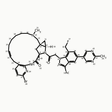 CC(=O)c1nn(CC(=O)N2[C@H]3C[C@]4(C[C@@H]24)CN(C)CCCCC/C=C\Cc2ccc(Br)nc2NC3=O)c2c(CF)cc(-c3cnc(C)nc3)cc12